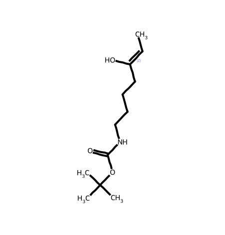 C/C=C(\O)CCCCNC(=O)OC(C)(C)C